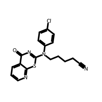 N#CCCCCN(c1ccc(Cl)cc1)c1nc(=O)c2cccnc2s1